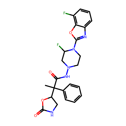 CC(C(=O)NN1CCN(c2nc3cccc(F)c3o2)C(F)C1)(c1ccccc1)C1CNC(=O)O1